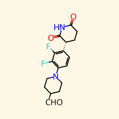 O=CC1CCN(c2ccc([C@H]3CCC(=O)NC3=O)c(F)c2F)CC1